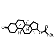 CCCCC(=O)OC1CC[C@H]2[C@@H]3CCC4CC(=O)CC[C@]4(C)[C@H]3CC[C@]12C